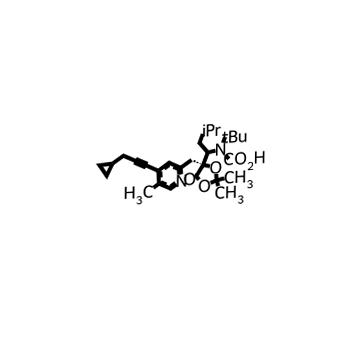 Cc1cnc(C[C@]2(C(CC(C)C)N(C(=O)O)C(C)(C)C)OC(C)(C)OC2=O)cc1C#CCC1CC1